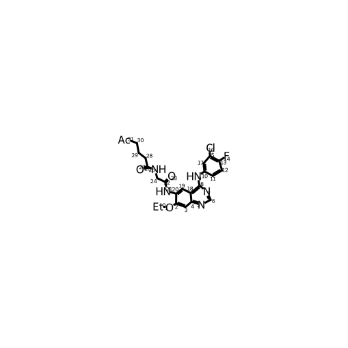 CCOc1cc2ncnc(Nc3ccc(F)c(Cl)c3)c2cc1NC(=O)CNC(=O)CCCC(C)=O